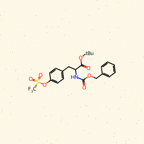 CC(C)(C)OC(=O)C(Cc1ccc(OS(=O)(=O)C(F)(F)F)cc1)NC(=O)OCc1ccccc1